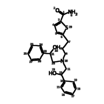 NC(=O)c1ccc(CCCN(CC(O)c2ccccc2)CC(O)c2ccccc2)s1